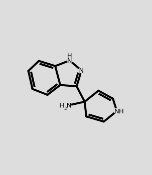 NC1(c2n[nH]c3ccccc23)C=CNC=C1